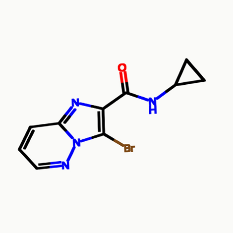 O=C(NC1CC1)c1nc2cccnn2c1Br